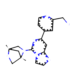 NCc1cc(-c2cc3nccn3c(N3C[C@@H]4C[C@H]3CN4)n2)ccn1